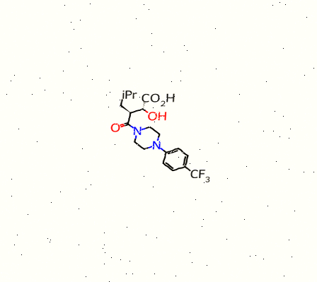 CC(C)C[C@H](C(=O)N1CCN(c2ccc(C(F)(F)F)cc2)CC1)[C@@H](O)C(=O)O